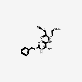 CSCC[C@H](NC(=O)[C@@H](NC(=O)OCc1ccccc1)C(C)C)C(=O)C=[N+]=[N-]